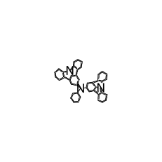 c1ccc(N(c2cc3c4ccccc4n4c5ccccc5c(c2)c34)c2cc3c4ccccc4n4c5ccccc5c(c2)c34)cc1